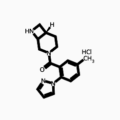 Cc1ccc(-n2cccn2)c(C(=O)N2CC[C@H]3CNC3C2)c1.Cl